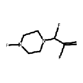 C=C(F)C(F)N1CCN(F)CC1